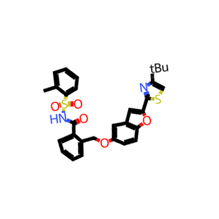 Cc1ccccc1S(=O)(=O)NC(=O)c1ccccc1COc1ccc2oc(-c3nc(C(C)(C)C)cs3)cc2c1